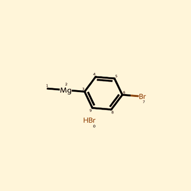 Br.[CH3][Mg][c]1ccc(Br)cc1